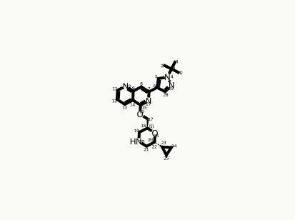 CC(C)(C)n1cc(-c2cc3ncccc3c(OC[C@@H]3CNC[C@@H](C4CC4)O3)n2)cn1